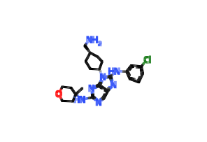 CC1(Nc2ncc3nc(Nc4cccc(Cl)c4)n([C@H]4CC[C@H](CN)CC4)c3n2)CCOCC1